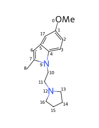 COc1ccc2c([c]c(C)n2CCN2CCCC2)c1